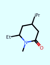 CCC1CC(C(C)C)CC(=O)N1C